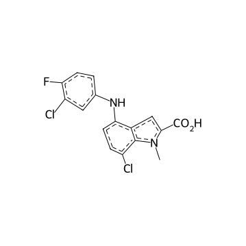 Cn1c(C(=O)O)cc2c(Nc3ccc(F)c(Cl)c3)ccc(Cl)c21